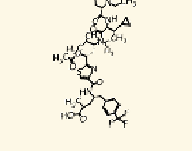 CCN1CCCC[C@@H]1C(=O)N[C@H](C(=O)N(C)[C@H](C[C@@H](OC(C)=O)c1nc(C(=O)N[C@@H](Cc2ccc(C(F)(F)F)cc2)C[C@H](C)C(=O)O)cs1)C(C)C)[C@@H](C)C1CC1